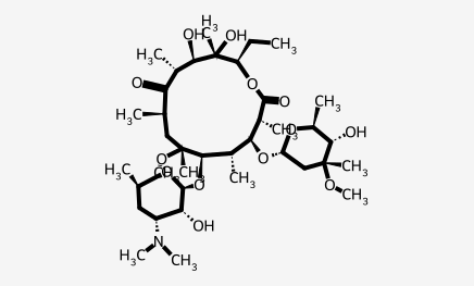 CC[C@H]1OC(=O)[C@H](C)[C@@H](O[C@H]2C[C@@](C)(OC)[C@@H](O)[C@H](C)O2)[C@H](C)[C@@H](O[C@@H]2O[C@H](C)C[C@@H](N(C)C)[C@H]2O)[C@](C)(OC)C[C@@H](C)C(=O)[C@H](C)[C@@H](O)[C@]1(C)O